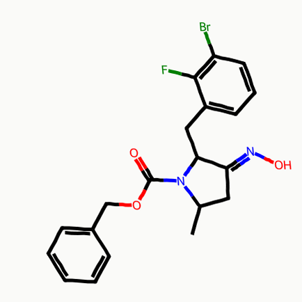 CC1CC(=NO)C(Cc2cccc(Br)c2F)N1C(=O)OCc1ccccc1